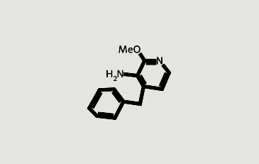 COc1nccc(Cc2ccccc2)c1N